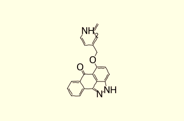 C=C/C=C(\C=C/N)COc1ccc2[nH]nc3c2c1C(=O)c1ccccc1-3